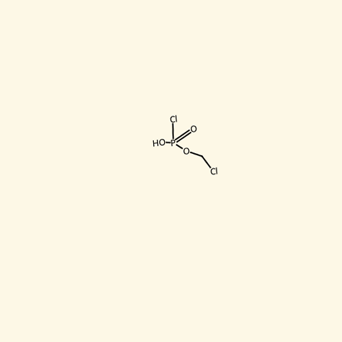 O=P(O)(Cl)OCCl